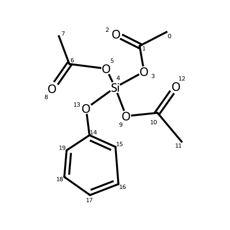 CC(=O)O[Si](OC(C)=O)(OC(C)=O)Oc1ccccc1